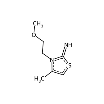 COCCn1c(C)csc1=N